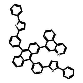 c1ccc(-c2ccc(-c3cccc(-c4c5ccccc5c(-c5cccc(-c6ccc(-c7ccccc7)s6)c5)c5cc(-c6cc7ncccc7c7ccccc67)ccc45)c3)s2)cc1